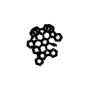 N#Cc1c(-n2c3ccccc3c3cccnc32)c(-c2cccc(-c3ccccc3)n2)c(-n2c3ccccc3c3cccnc32)c(-n2c3ccccc3c3cccnc32)c1-n1c2ccccc2c2cccnc21